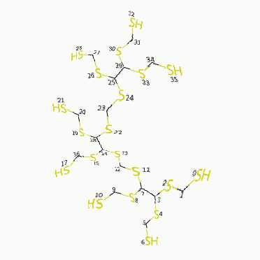 SCSC(SCS)C(SCS)SCSC(SCS)C(SCS)SCSC(SCS)C(SCS)SCS